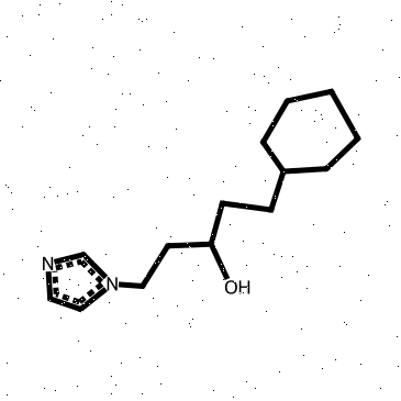 OC(CCC1CCCCC1)CCn1ccnc1